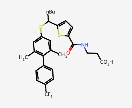 CCCCC(Sc1cc(C)c(-c2ccc(C(F)(F)F)cc2)c(C)c1)c1ccc(C(=O)NCCC(=O)O)s1